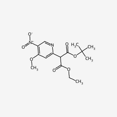 CCOC(=O)C(C(=O)OC(C)(C)C)c1cc(OC)c([N+](=O)[O-])cn1